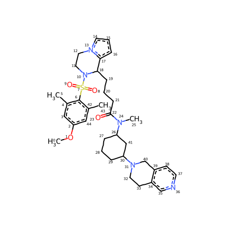 COc1cc(C)c(S(=O)(=O)N2CCn3cccc3C2CCCC(=O)N(C)C2CCCC(N3CCc4cnccc4C3)C2)c(C)c1